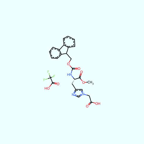 COC(=O)[C@H](Cc1cn(CC(=O)O)cn1)NC(=O)OCC1c2ccccc2-c2ccccc21.O=C(O)C(F)(F)F